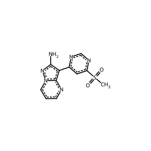 CS(=O)(=O)c1cc(-c2c(N)nn3cccnc23)ncn1